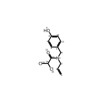 C=CCN(Cc1ccc(O)cc1)C(=O)C(Cl)Cl